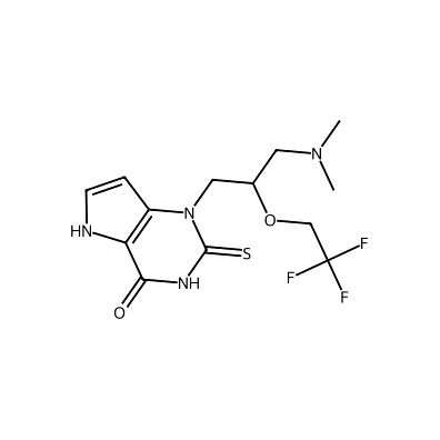 CN(C)CC(Cn1c(=S)[nH]c(=O)c2[nH]ccc21)OCC(F)(F)F